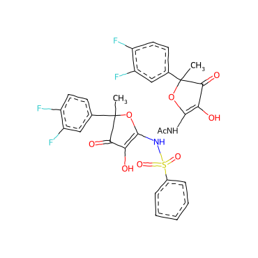 CC(=O)NC1=C(O)C(=O)C(C)(c2ccc(F)c(F)c2)O1.CC1(c2ccc(F)c(F)c2)OC(NS(=O)(=O)c2ccccc2)=C(O)C1=O